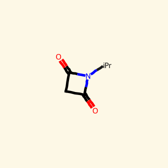 CC(C)N1C(=O)CC1=O